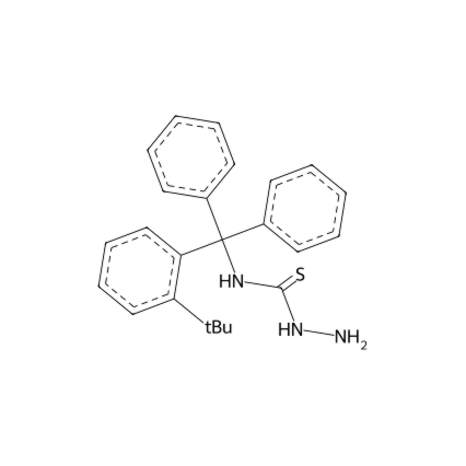 CC(C)(C)c1ccccc1C(NC(=S)NN)(c1ccccc1)c1ccccc1